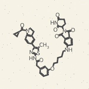 Cc1sc(NC(=O)Cc2cccc(OCCCCCNc3ccc4c(c3)C(=O)N(C3CCC(=O)NC3=O)C4=O)c2)nc1-c1ccc2c(c1)CCN2C(=O)C1CC1